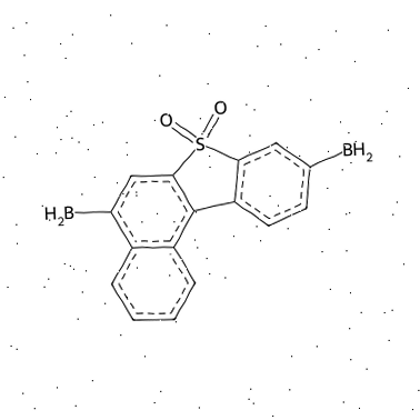 Bc1ccc2c(c1)S(=O)(=O)c1cc(B)c3ccccc3c1-2